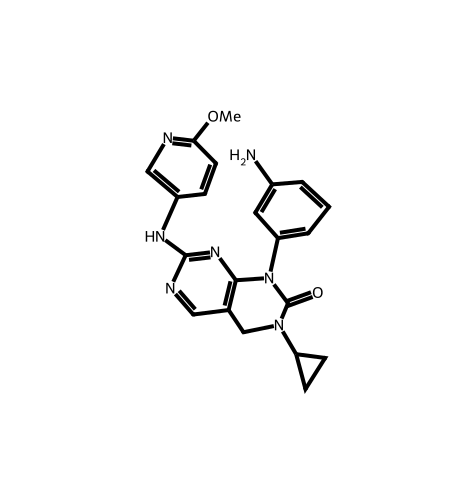 COc1ccc(Nc2ncc3c(n2)N(c2cccc(N)c2)C(=O)N(C2CC2)C3)cn1